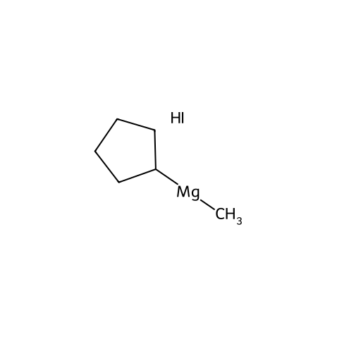 I.[CH3][Mg][CH]1CCCC1